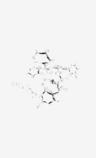 CCOC(=O)[C@@H]1C[C@H]1c1c(F)ccc2c1C[C@H](CO[Si](c1ccccc1)(c1ccccc1)C(C)(C)C)N(C(=O)Cc1c(F)cccc1Cl)[C@H]2C